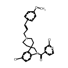 COc1ccc(/C=C/CN2CCC3(CC2)CN(C(=O)c2ccnc(Cl)c2)c2ccc(Cl)cc23)cc1